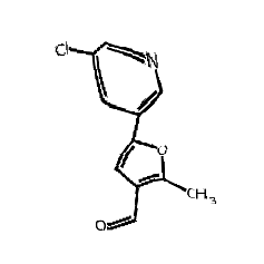 Cc1oc(-c2cncc(Cl)c2)cc1C=O